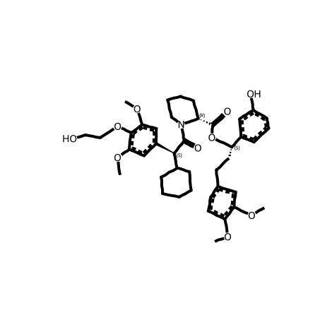 COc1ccc(CC[C@H](OC(=O)[C@H]2CCCCN2C(=O)[C@H](c2cc(OC)c(OCCO)c(OC)c2)C2CCCCC2)c2cccc(O)c2)cc1OC